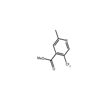 COC(=O)c1cc(C)ncc1C(F)(F)F